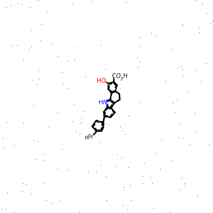 CCCc1ccc(-c2ccc3c4c([nH]c3c2)-c2cc(O)c(C(=O)O)cc2CC4)cc1